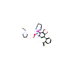 N#Cc1c(N)sc2ccc(F)c(-c3c4c(c5c(N6C7CCC6CN(CCCO)C7)nc(OC[C@@H]6CCCN6CCF)nc5c3F)COC4)c12